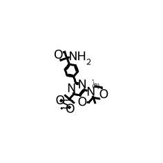 C[C@@H]1COCC2(C)COc3c(nc(-c4ccc(C5(N)COC5)cc4)nc3C(C)(C)S(C)(=O)=O)N12